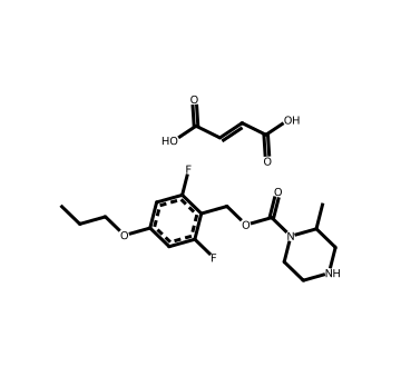 CCCOc1cc(F)c(COC(=O)N2CCNCC2C)c(F)c1.O=C(O)C=CC(=O)O